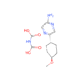 CO[C@H]1CC[C@H](c2cnc(N)cn2)CC1.O=C(O)NC(=O)O